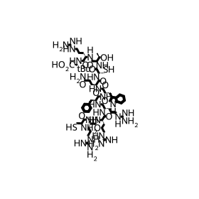 C[C@@H](O)[C@H](NC(=O)[C@H](CS)NC(=O)[C@H](CCC(N)=O)NC(=O)[C@H](Cc1c[nH]c2ccccc12)NC(=O)[C@H](Cc1ccccc1)NC(=O)[C@H](CCCNC(=N)N)NC(=O)[C@H](CCCNC(=N)N)NC(=O)[C@H](CCCNC(=N)N)NC(=O)[C@@H](N)CS)C(=O)N[C@@H](CCCNC(=N)N)C(=O)N[C@H](C(=O)O)C(C)(C)C